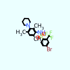 Cc1cc(C)c(N2CCCCC2)c(C)c1NS(=O)(=O)c1ccc(Br)cc1C(F)(F)F